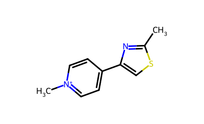 Cc1nc(-c2cc[n+](C)cc2)cs1